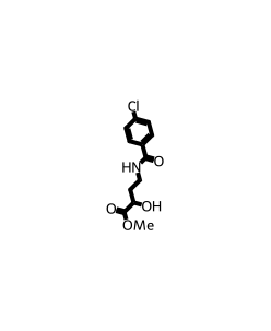 COC(=O)C(O)CCNC(=O)c1ccc(Cl)cc1